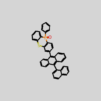 O=P1(c2ccccc2)c2ccccc2Sc2cc(-c3c4ccccc4c(-c4cccc5ccccc45)c4ccccc34)ccc21